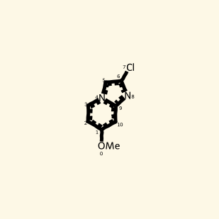 COc1ccn2cc(Cl)nc2c1